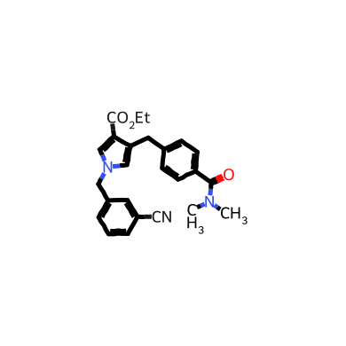 CCOC(=O)c1cn(Cc2cccc(C#N)c2)cc1Cc1ccc(C(=O)N(C)C)cc1